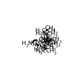 CC(C)(C)[Si](C)(C)OC[C@@]1(C(F)F)O[C@@H](n2ccc(N)nc2=O)C(O[Si](C)(C)C(C)(C)C)C1O[Si](C)(C)C(C)(C)C